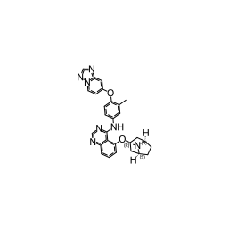 Cc1cc(Nc2ncnc3cccc(O[C@H]4C[C@H]5CC[C@@H](C4)N5C)c23)ccc1Oc1ccn2ncnc2c1